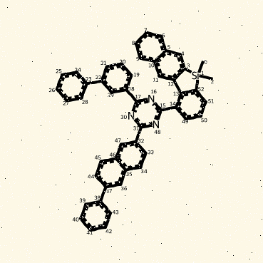 C[Si]1(C)c2cc3ccccc3cc2-c2c(-c3nc(-c4cccc(-c5ccccc5)c4)nc(-c4ccc5cc(-c6ccccc6)ccc5c4)n3)cccc21